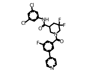 O=C(Nc1cc(Cl)cc(Cl)c1)C1CN(C(=O)c2cc(F)cc(-c3ccncc3)c2)CC(F)(F)C1